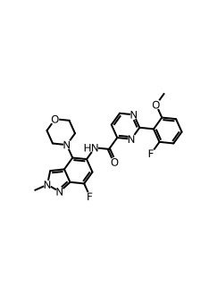 COc1cccc(F)c1-c1nccc(C(=O)Nc2cc(F)c3nn(C)cc3c2N2CCOCC2)n1